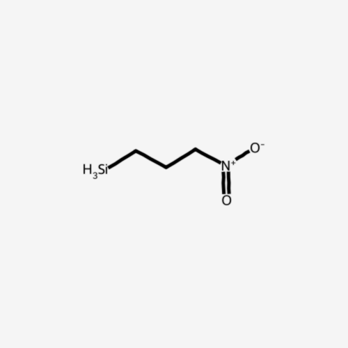 O=[N+]([O-])CCC[SiH3]